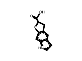 O=C(O)C1Cc2cc3cc[nH]c3cc2S1